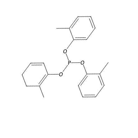 CC1=C(OP(Oc2ccccc2C)Oc2ccccc2C)C=CCC1